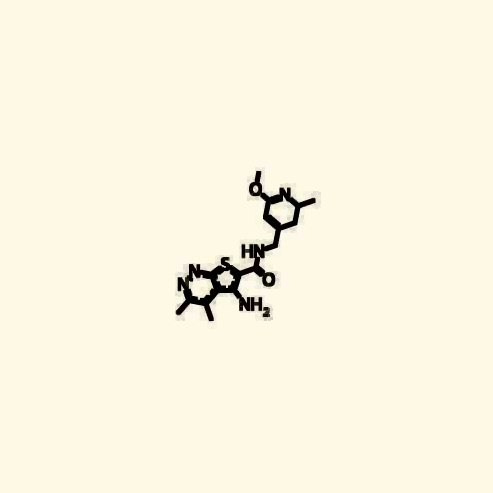 COC1=NC(C)CC(CNC(=O)c2sc3nnc(C)c(C)c3c2N)=C1